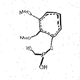 COc1cccc(OP(O)O)c1OC